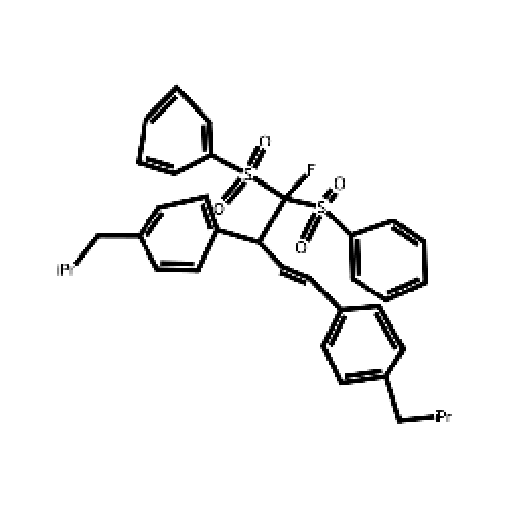 CC(C)Cc1ccc(C=CC(c2ccc(CC(C)C)cc2)C(F)(S(=O)(=O)c2ccccc2)S(=O)(=O)c2ccccc2)cc1